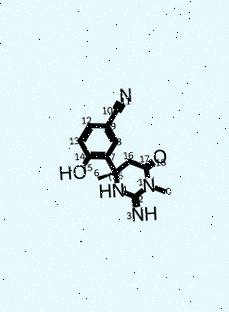 CN1C(=N)N[C@](C)(c2cc(C#N)ccc2O)CC1=O